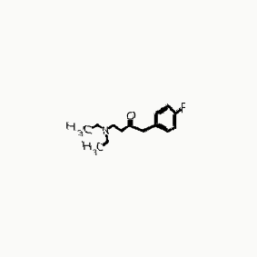 CCN(CC)CCC(=O)Cc1ccc(F)cc1